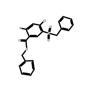 O=C(OCc1ccccc1)c1cc(S(=O)(=O)Cc2ccccc2)c(Cl)cc1F